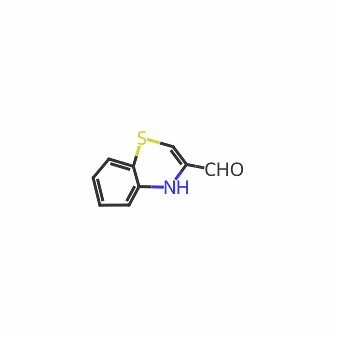 O=CC1=CSc2ccccc2N1